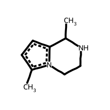 Cc1ccc2n1CCNC2C